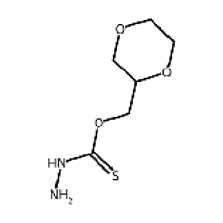 NNC(=S)OCC1COCCO1